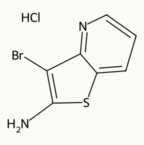 Cl.Nc1sc2cccnc2c1Br